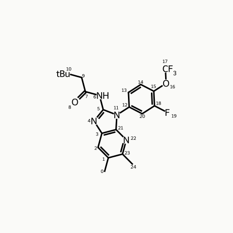 Cc1cc2nc(NC(=O)CC(C)(C)C)n(-c3ccc(OC(F)(F)F)c(F)c3)c2nc1C